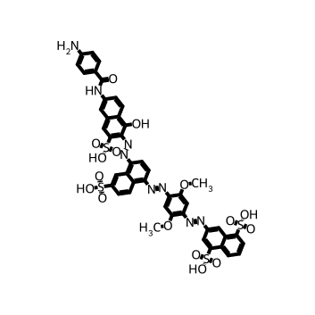 COc1cc(N=Nc2ccc(N=Nc3c(S(=O)(=O)O)cc4cc(NC(=O)c5ccc(N)cc5)ccc4c3O)c3cc(S(=O)(=O)O)ccc23)c(OC)cc1N=Nc1cc(S(=O)(=O)O)c2cccc(S(=O)(=O)O)c2c1